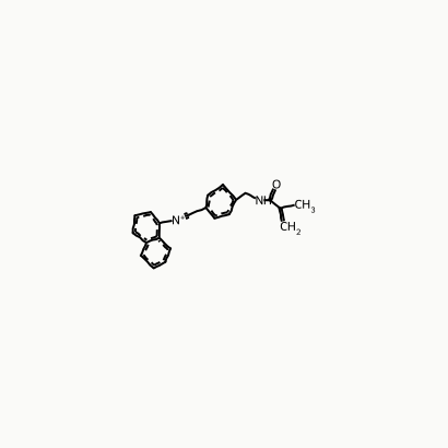 C=C(C)C(=O)NCc1ccc(C#[N+]c2cccc3ccccc23)cc1